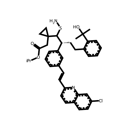 CC(C)OC(=O)CC1(C(SN)[C@H](CCc2ccccc2C(C)(C)O)c2cccc(C=Cc3ccc4ccc(Cl)cc4n3)c2)CC1